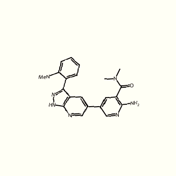 CNc1ccccc1-c1n[nH]c2ncc(-c3cnc(N)c(C(=O)N(C)C)c3)cc12